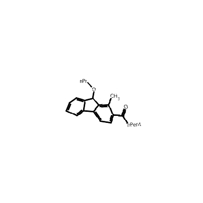 CCCCCC(=O)c1ccc2c(c1C)C(OCCC)c1ccccc1-2